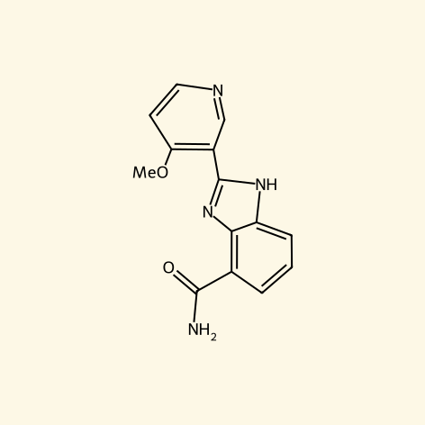 COc1ccncc1-c1nc2c(C(N)=O)cccc2[nH]1